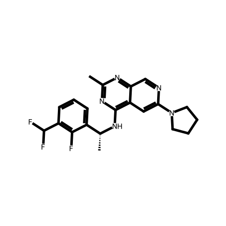 Cc1nc(N[C@H](C)c2cccc(C(F)F)c2F)c2cc(N3CCCC3)ncc2n1